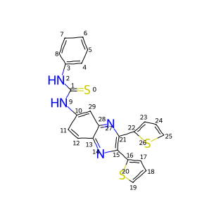 S=C(Nc1ccccc1)Nc1ccc2nc(-c3cccs3)c(-c3cccs3)nc2c1